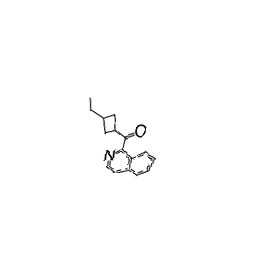 CCC1CC(C(=O)c2nccc3ccccc23)C1